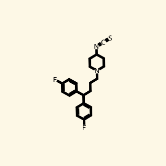 Fc1ccc(C(CCCN2CCC(N=C=S)CC2)c2ccc(F)cc2)cc1